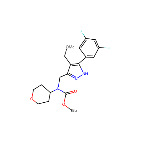 COCc1c(CN(C(=O)OC(C)(C)C)C2CCOCC2)n[nH]c1-c1cc(F)cc(F)c1